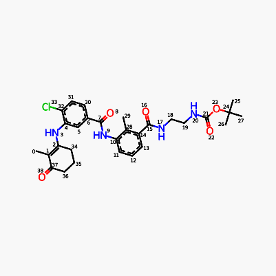 CC1=C(Nc2cc(C(=O)Nc3cccc(C(=O)NCCNC(=O)OC(C)(C)C)c3C)ccc2Cl)CCCC1=O